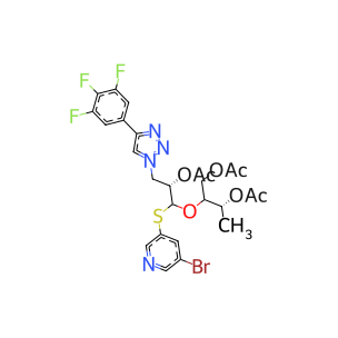 CC(=O)OCC(OC(Sc1cncc(Br)c1)[C@H](Cn1cc(-c2cc(F)c(F)c(F)c2)nn1)OC(C)=O)[C@@H](C)OC(C)=O